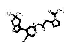 CC(=O)N1CCCC1CC(=O)Nc1cc(-c2cnn3c2CC(C)(C)C3)c(Cl)cn1